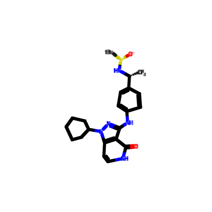 CC(C)(C)[S+]([O-])N[C@@H](c1ccc(Nc2nn(C3CCCCC3)c3cc[nH]c(=O)c23)cc1)C(F)(F)F